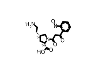 NCC[C@H]1C[C@@H](C(=O)O)N(C(=O)CC(=O)c2ccccc2N=O)C1